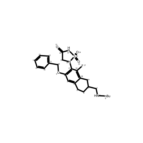 CCCCNCC1CCc2cc(OCc3ccccc3)c(N3CC(=O)NS3(=O)=O)c(F)c2C1